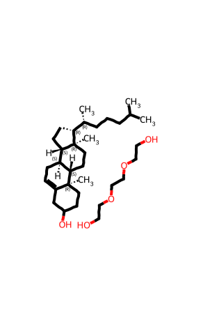 CC(C)CCC[C@@H](C)[C@H]1CC[C@H]2[C@@H]3CC=C4CC(O)CC[C@]4(C)[C@H]3CC[C@]12C.OCCOCCOCCO